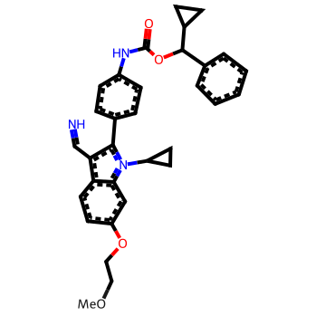 COCCOc1ccc2c(C=N)c(-c3ccc(NC(=O)OC(c4ccccc4)C4CC4)cc3)n(C3CC3)c2c1